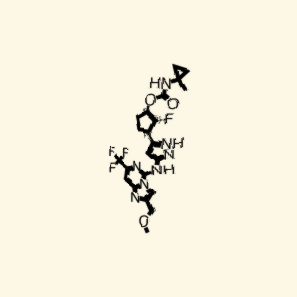 COCc1cn2c(Nc3cc([C@H]4CC[C@@H](OC(=O)NC5(C)CC5)[C@@H]4F)[nH]n3)nc(C(F)(F)F)cc2n1